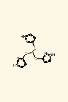 c1cc(OB(Oc2cc[nH]n2)Oc2cc[nH]n2)n[nH]1